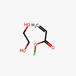 C=CC(=O)OF.OCCO